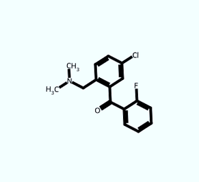 CN(C)Cc1ccc(Cl)cc1C(=O)c1ccccc1F